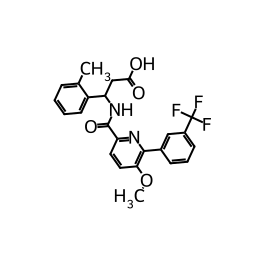 COc1ccc(C(=O)NC(CC(=O)O)c2ccccc2C)nc1-c1cccc(C(F)(F)F)c1